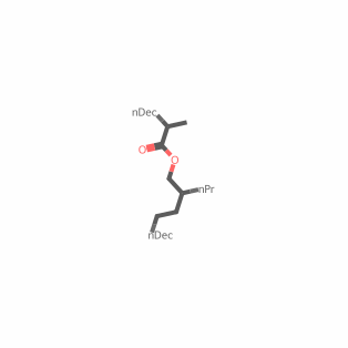 CCCCCCCCCCCCC(CCC)COC(=O)C(C)CCCCCCCCCC